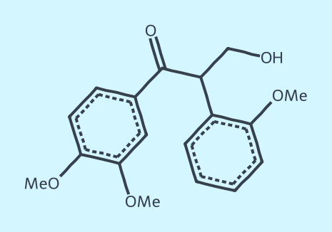 COc1ccc(C(=O)C(CO)c2ccccc2OC)cc1OC